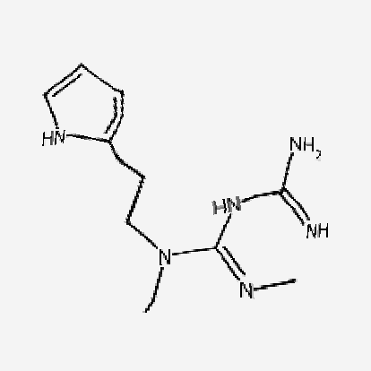 C/N=C(\NC(=N)N)N(C)CCc1ccc[nH]1